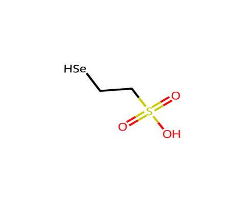 O=S(=O)(O)CC[SeH]